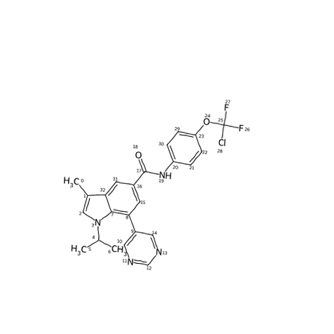 Cc1cn(C(C)C)c2c(-c3cncnc3)cc(C(=O)Nc3ccc(OC(F)(F)Cl)cc3)cc12